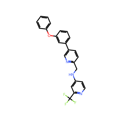 FC(F)(F)c1cc(NCc2ccc(-c3cccc(Oc4ccccc4)c3)cn2)ccn1